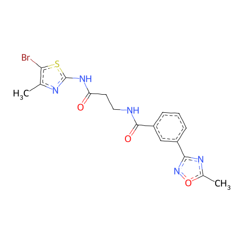 Cc1nc(-c2cccc(C(=O)NCCC(=O)Nc3nc(C)c(Br)s3)c2)no1